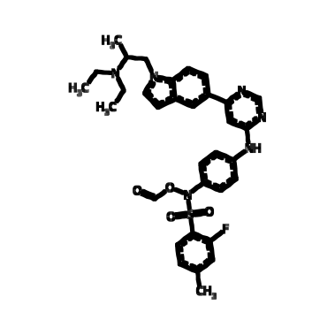 CCN(CC)C(C)Cn1ccc2cc(-c3cc(Nc4ccc(N(OC=O)S(=O)(=O)c5ccc(C)cc5F)cc4)ncn3)ccc21